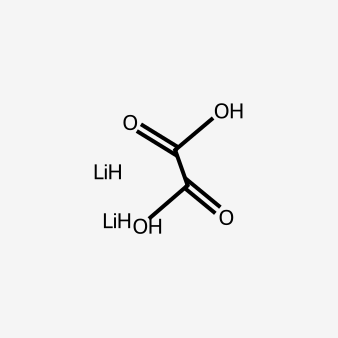 O=C(O)C(=O)O.[LiH].[LiH]